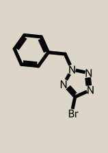 Brc1nnn(Cc2ccccc2)n1